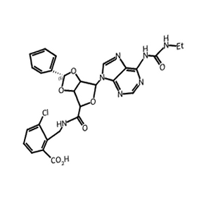 CCNC(=O)Nc1ncnc2c1ncn2C1OC(C(=O)NCc2c(Cl)cccc2C(=O)O)C2O[C@H](c3ccccc3)OC21